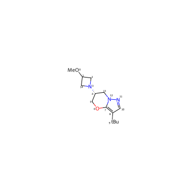 COC1CN([C@H]2COc3c(C(C)(C)C)cnn3C2)C1